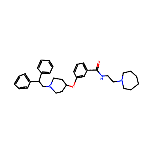 O=C(NCCN1CCCCCC1)c1cccc(OC2CCN(CC(c3ccccc3)c3ccccc3)CC2)c1